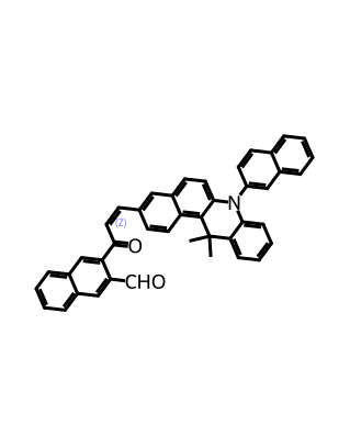 CC1(C)c2ccccc2N(c2ccc3ccccc3c2)c2ccc3cc(/C=C\C(=O)c4cc5ccccc5cc4C=O)ccc3c21